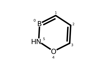 B1=CC=CON1